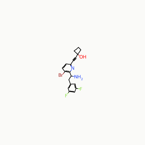 NC(Cc1cc(F)cc(F)c1)c1nc(C#CC2(O)CCC2)ccc1Br